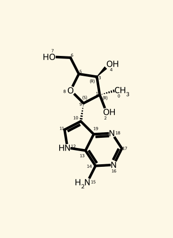 C[C@@]1(O)[C@H](O)C(CO)O[C@H]1c1c[nH]c2c(N)ncnc12